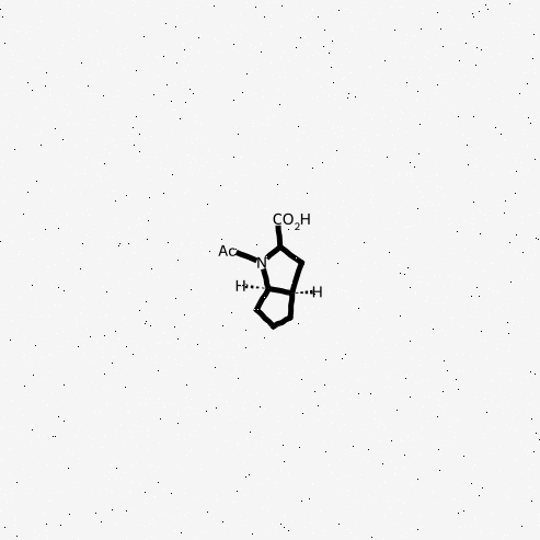 CC(=O)N1C(C(=O)O)C[C@H]2CCC[C@H]21